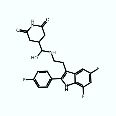 O=C1CC(C(O)NCCc2c(-c3ccc(F)cc3)[nH]c3c(F)cc(F)cc23)CC(=O)N1